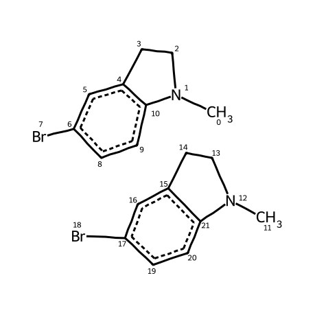 CN1CCc2cc(Br)ccc21.CN1CCc2cc(Br)ccc21